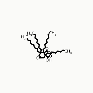 CCCCCCCCC1(C(=O)O)CC2OC2C(CCCCCCCC)(CCCCCCCC)C1(CCCCCCCC)C(=O)O